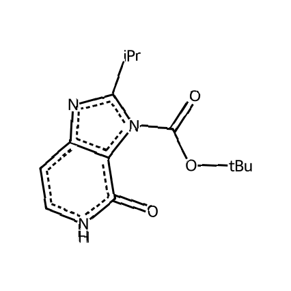 CC(C)c1nc2cc[nH]c(=O)c2n1C(=O)OC(C)(C)C